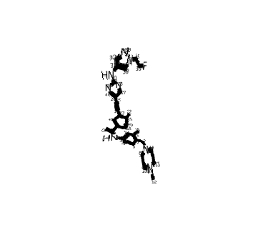 C=C(Nc1ccc(CN2CCN(C)CC2)c(C)c1)c1ccc(C)c(C#Cc2cnc(Nc3cnn(CCF)c3)nc2)c1